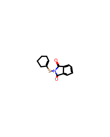 O=C1c2ccccc2C(=O)N1SC1=CCCCC1